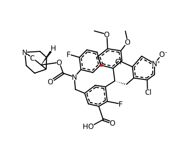 COc1ccc([C@H](Cc2c(Cl)c[n+]([O-])cc2Cl)c2cc(CN(C(=O)O[C@H]3CN4CCC3CC4)c3ccccc3F)cc(C(=O)O)c2F)cc1OC